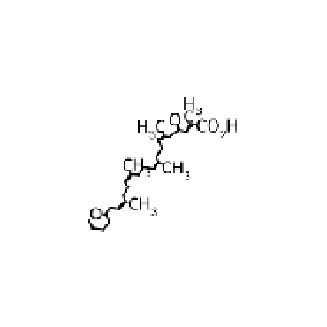 CC(=CCCC(C)=CCC1CCCCO1)CCC=C(C)CCC=C(C)CC(=O)C=C(C)C(=O)O